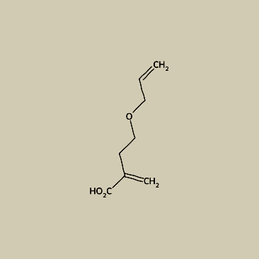 C=CCOCCC(=C)C(=O)O